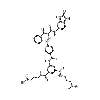 CCN(CC)CCCNC(=O)c1cc(NC(=O)c2ccc(/N=N/C(C(=O)Nc3ccc4[nH]c(=O)[nH]c4c3)C(=O)c3ccccc3)cc2)cc(C(=O)NCCCN(CC)CC)c1